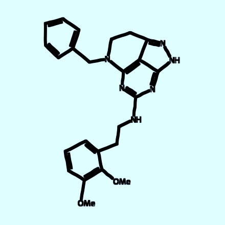 COc1cccc(CCNc2nc3c4c(n[nH]c4n2)CCN3Cc2ccccc2)c1OC